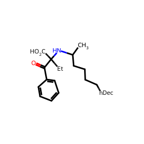 CCCCCCCCCCCCCCC(C)NC(CC)(C(=O)O)C(=O)c1ccccc1